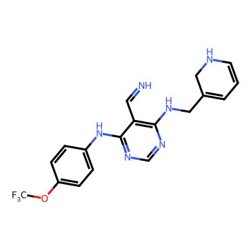 N=Cc1c(NCC2=CC=CNC2)ncnc1Nc1ccc(OC(F)(F)F)cc1